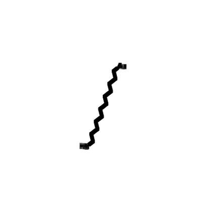 SCCCCCCCCCCC[CH2][Au]